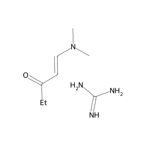 CCC(=O)C=CN(C)C.N=C(N)N